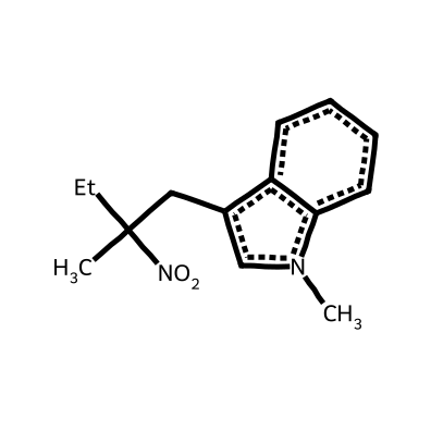 CCC(C)(Cc1cn(C)c2ccccc12)[N+](=O)[O-]